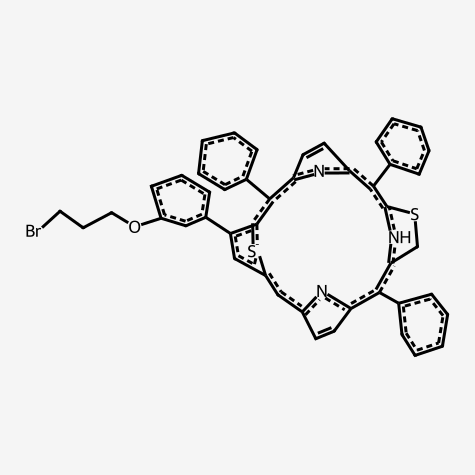 BrCCCOc1cccc(-c2cc3cc4nc(c(-c5ccccc5)c5[nH]c(c(-c6ccccc6)c6nc(c(-c7ccccc7)c2s3)C=C6)SC5)C=C4)c1